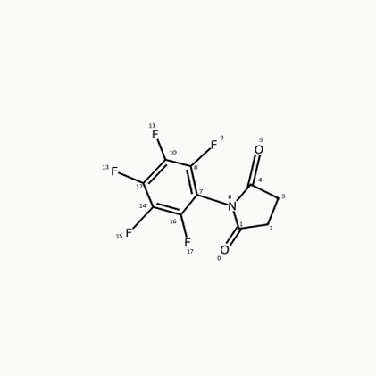 O=C1CCC(=O)N1c1c(F)c(F)c(F)c(F)c1F